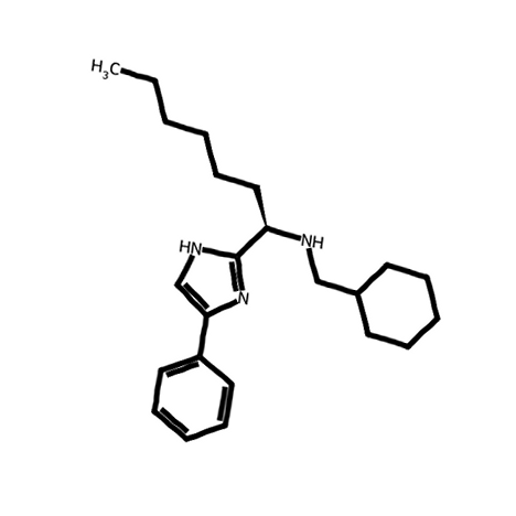 CCCCCC[C@@H](NCC1CCCCC1)c1nc(-c2ccccc2)c[nH]1